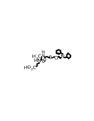 CC(NC(=O)CCOCCOC=CN(Cc1ccccc1)Cc1ccccc1)C(=O)NCCCC(=O)O